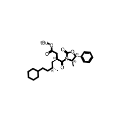 C[C@H](CCC1CCCCC1)C[C@@H](CC(=O)OC(C)(C)C)C(=O)N1C(=O)O[C@H](c2ccccc2)[C@H]1C